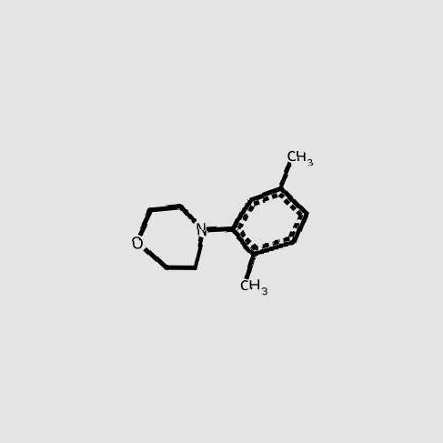 Cc1ccc(C)c(N2CCOCC2)c1